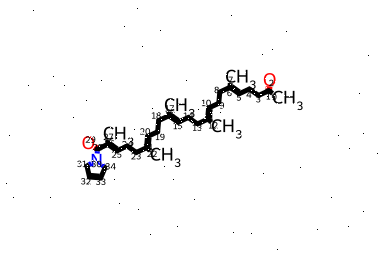 CC(=O)CCC=C(C)CCC=C(C)CCC=C(C)CCC=C(C)CCC=C(C)C(=O)N1CC=CC1